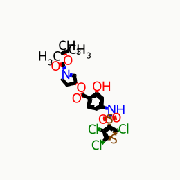 CC(C)(C)OC(=O)N1CCC(OC(=O)c2ccc(NS(=O)(=O)c3c(Cl)sc(Cl)c3Cl)cc2O)C1